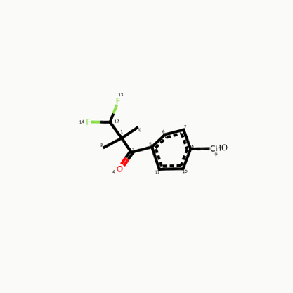 CC(C)(C(=O)c1ccc(C=O)cc1)C(F)F